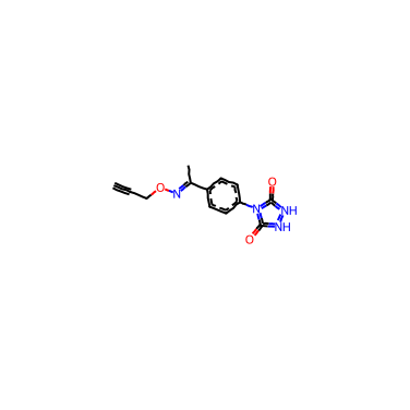 C#CCON=C(C)c1ccc(-n2c(=O)[nH][nH]c2=O)cc1